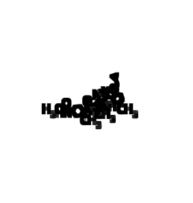 CC(=O)N[C@@H]1CC[C@H](NC(=O)c2c(C)[nH]c3c(-c4cc(C)ccc4OCC4CC4)ncnc23)[C@H](C)C1